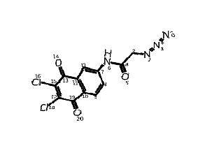 [N-]=[N+]=NCC(=O)Nc1ccc2c(c1)C(=O)C(Cl)=C(Cl)C2=O